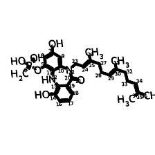 C=P(O)(O)Oc1cc(O)cc2c1Nc1c(O)cccc1C(=O)N2C/C=C(\C)CC/C=C(\C)CCC=C(C)C